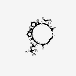 C[C@H]1OC(=O)CC/C=C/CCC(=O)O[C@H](C)[C@H](NC(=O)OC(C)(C)C)C(=O)N2CCC[C@H]2C(=O)N2CCC[C@H]2C(=O)N[C@@H]1C(N)=O